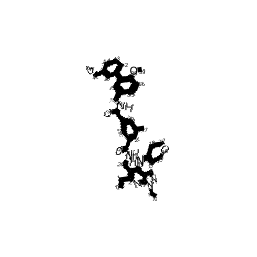 CCc1nc2c(cnn2CC)c(NC2CCOCC2)c1CNC(=O)c1cc(C)cc(C(=O)NCc2ccc(OC)c(-c3cccc(C=O)c3)c2)c1